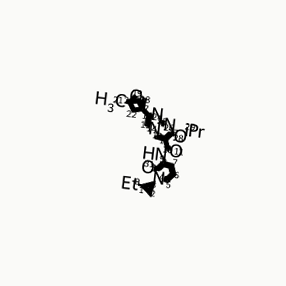 CC[C@@H]1C[C@H]1n1cccc(NC(=O)c2cn3cc(C45COC(C)(C4)C5)nc3nc2OC(C)C)c1=O